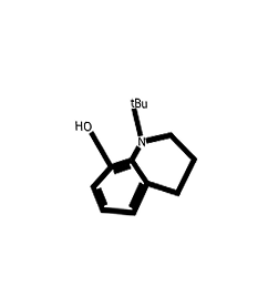 CC(C)(C)N1CCCc2cccc(O)c21